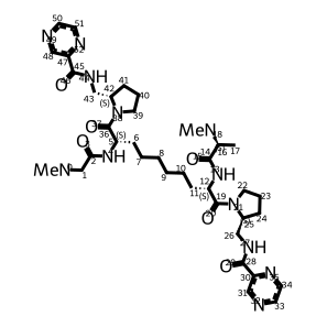 CNCC(=O)N[C@@H](CCCCCC[C@H](NC(=O)[C@H](C)NC)C(=O)N1CCC[C@H]1CNC(=O)c1cnccn1)C(=O)N1CCC[C@H]1CNC(=O)c1cnccn1